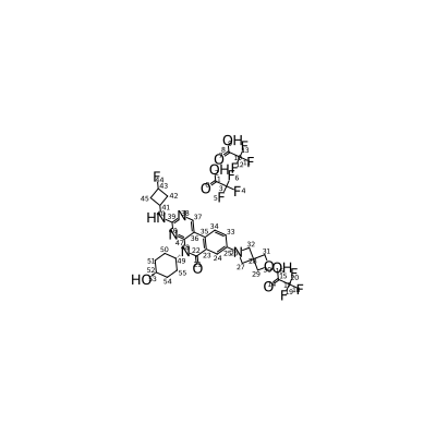 O=C(O)C(F)(F)F.O=C(O)C(F)(F)F.O=C(O)C(F)(F)F.O=c1c2cc(N3CC4(COC4)C3)ccc2c2cnc(NC3CC(F)C3)nc2n1[C@H]1CC[C@H](O)CC1